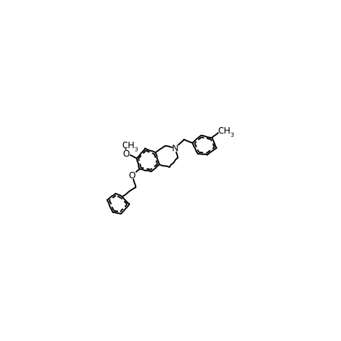 COc1cc2c(cc1OCc1ccccc1)CCN(Cc1cccc(C)c1)C2